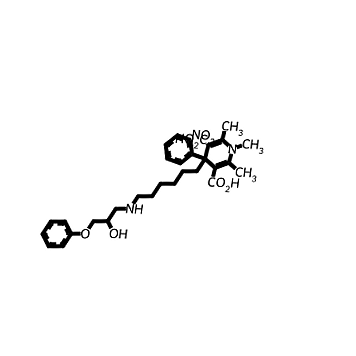 CC1=C(C(=O)O)C(CCCCCCNCC(O)COc2ccccc2)(c2ccccc2[N+](=O)[O-])C(C(=O)O)=C(C)N1C